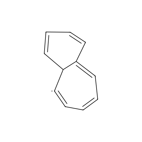 [C]1=CC=CC=C2C=CC=CC12